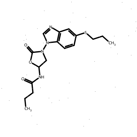 CCCSc1ccc2c(c1)ncn2N1CC(NC(=O)CCC)OC1=O